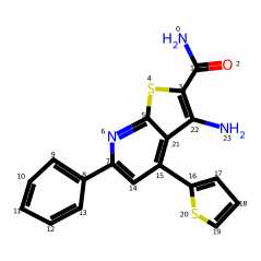 NC(=O)c1sc2nc(-c3ccccc3)cc(-c3cccs3)c2c1N